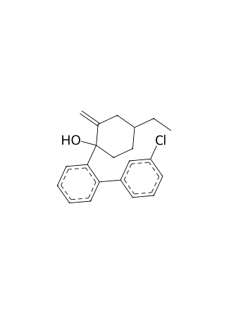 C=C1CC(CC)CCC1(O)c1ccccc1-c1cccc(Cl)c1